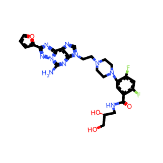 Nc1nc2c(ncn2CCN2CCN(c3cc(C(=O)NC[C@@H](O)CO)c(F)cc3F)CC2)c2nc(-c3ccco3)nn12